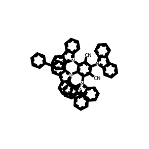 N#Cc1c(-n2c3ccccc3c3ccccc32)c(C#N)c(-n2c3ccccc3c3ccccc32)c(-n2c3ccc(-c4ccccc4)cc3c3ccc4c5ccccc5sc4c32)c1-n1c2ccccc2c2ccccc21